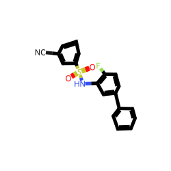 N#Cc1cccc(S(=O)(=O)Nc2cc(-c3ccccc3)ccc2F)c1